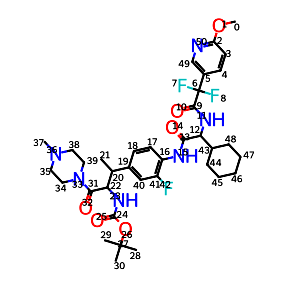 COc1ccc(C(F)(F)C(=O)NC(C(=O)Nc2ccc(C(C)C(NC(=O)OC(C)(C)C)C(=O)N3CCN(C)CC3)cc2F)C2CCCCC2)cn1